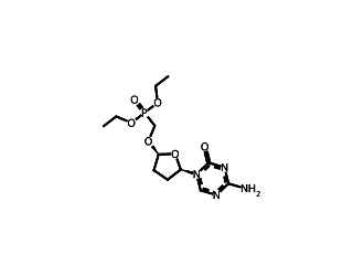 CCOP(=O)(CO[C@@H]1CC[C@H](n2cnc(N)nc2=O)O1)OCC